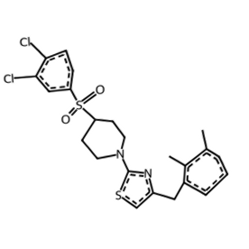 Cc1cccc(Cc2csc(N3CCC(S(=O)(=O)c4ccc(Cl)c(Cl)c4)CC3)n2)c1C